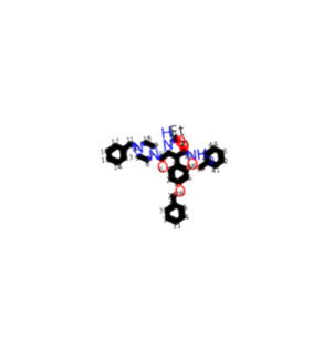 CCC(=O)N[C@H](C(=O)N1CCN(Cc2ccccc2)CC1)C(C(N)=O)c1ccc(OCc2ccccc2)cc1OCc1ccccc1